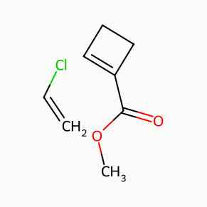 C=CCl.COC(=O)C1=CCC1